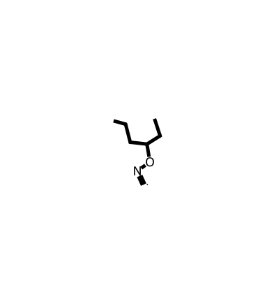 [CH]=NOC(CC)CCC